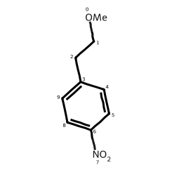 COCCc1ccc([N+](=O)[O-])cc1